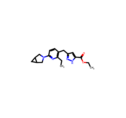 CCOC(=O)c1cc(Cc2ccc(N3CC4CC4C3)nc2CC)n[nH]1